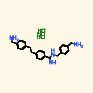 Cl.Cl.Cl.N=C(NCc1ccc(CN)cc1)c1ccc(CCc2ccc(CN)cc2)cc1